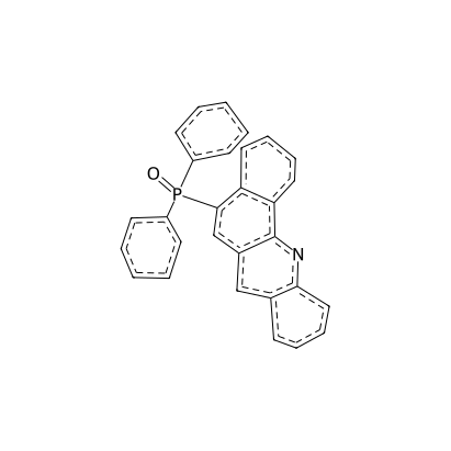 O=P(c1ccccc1)(c1ccccc1)c1cc2cc3ccccc3nc2c2ccccc12